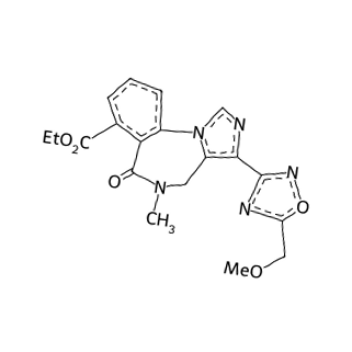 CCOC(=O)c1cccc2c1C(=O)N(C)Cc1c(-c3noc(COC)n3)ncn1-2